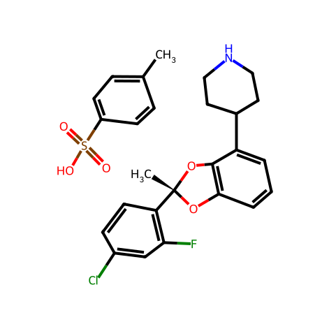 C[C@]1(c2ccc(Cl)cc2F)Oc2cccc(C3CCNCC3)c2O1.Cc1ccc(S(=O)(=O)O)cc1